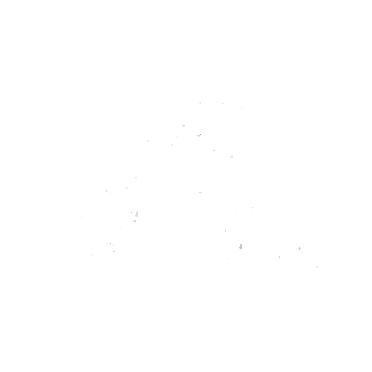 CNC(=O)c1c(-c2ccc(F)cc2)oc2cc(N(C)S(C)(=O)=O)c(-c3cccc(-c4nc5cc(Cl)cnc5[nH]4)c3)cc12